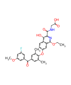 CCOc1nc(C(=O)NCC(=O)O)c(O)c2ccc(Oc3c(C)cc(C(=O)c4cc(F)cc(OC)c4)cc3C)cc12